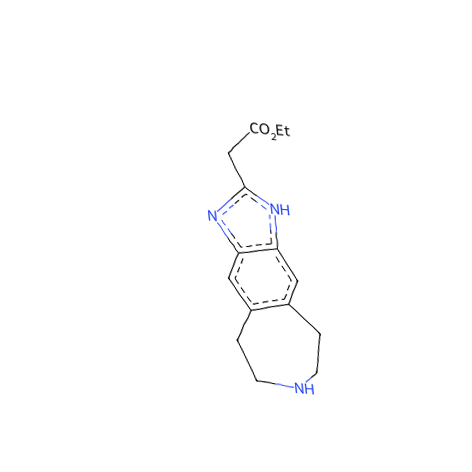 CCOC(=O)Cc1nc2cc3c(cc2[nH]1)CCNCC3